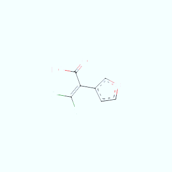 O=C(O)C(=C(Cl)Cl)c1ccoc1